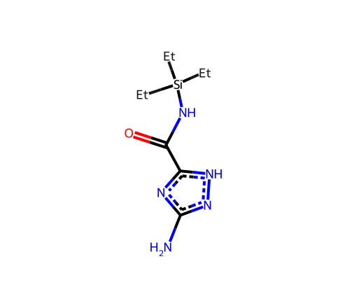 CC[Si](CC)(CC)NC(=O)c1nc(N)n[nH]1